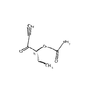 C#CC(=O)[C@@H](CC)OC(N)=O